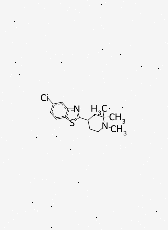 CN1CCC(c2nc3cc(Cl)ccc3s2)CC1(C)C